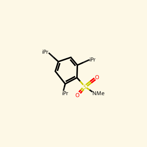 CNS(=O)(=O)c1c(C(C)C)cc(C(C)C)cc1C(C)C